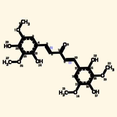 COc1cc(/C=C/C(=O)/C=C/c2cc(OC)c(O)c(OC)c2O)c(O)c(OC)c1O